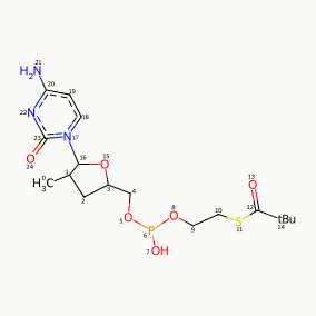 CC1CC(COP(O)OCCSC(=O)C(C)(C)C)OC1n1ccc(N)nc1=O